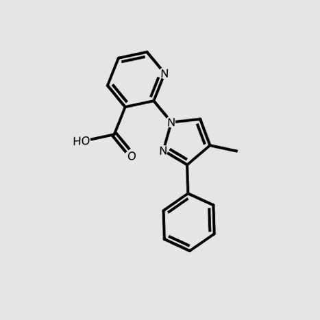 Cc1cn(-c2ncccc2C(=O)O)nc1-c1ccccc1